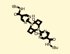 CC(C)(C)NC(=O)c1cnc(N2C3CCC3(O)N(c3ncc(C(=O)NC(C)(C)C)cn3)C3CCC32O)nc1